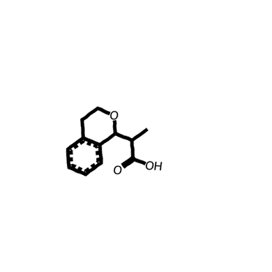 CC(C(=O)O)C1OCCc2ccccc21